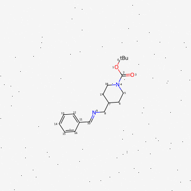 CC(C)(C)OC(=O)N1CCC(CN=Cc2ccccc2)CC1